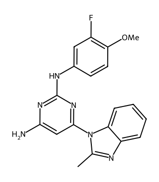 COc1ccc(Nc2nc(N)cc(-n3c(C)nc4ccccc43)n2)cc1F